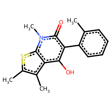 Cc1ccccc1-c1c(O)c2c(C)c(C)sc2n(C)c1=O